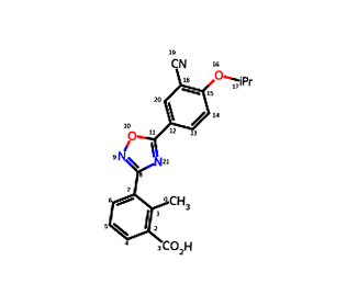 Cc1c(C(=O)O)cccc1-c1noc(-c2ccc(OC(C)C)c(C#N)c2)n1